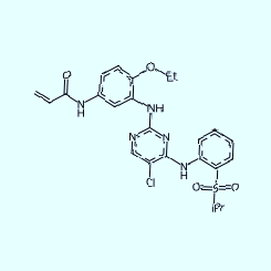 C=CC(=O)Nc1ccc(OCC)c(Nc2ncc(Cl)c(Nc3ccccc3S(=O)(=O)C(C)C)n2)c1